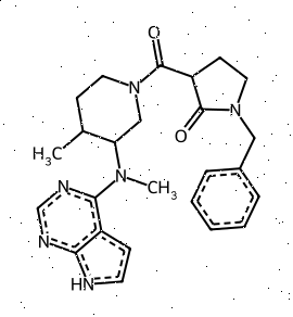 CC1CCN(C(=O)C2CCN(Cc3ccccc3)C2=O)CC1N(C)c1ncnc2[nH]ccc12